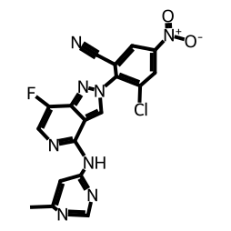 Cc1cc(Nc2ncc(F)c3nn(-c4c(Cl)cc([N+](=O)[O-])cc4C#N)cc23)ncn1